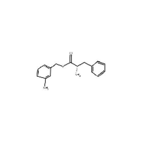 Nc1cccc(COC(=O)[C@@H](N)Cc2ccccc2)c1